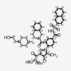 CCCCN(CCCC)C(=O)c1nn(-c2ccc(C(=O)NS(=O)(=O)c3ccc4ccccc4c3)cc2C(=O)N2Cc3ccccc3C[C@H]2CN2CCN(CCO)CC2)c(C)c1Cl